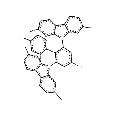 Cc1ccc2c3ccc(C)cc3n(-c3cc(C#N)cc(-n4c5cc(C)ccc5c5ccc(C)cc54)c3-c3ccc(C#N)cc3F)c2c1